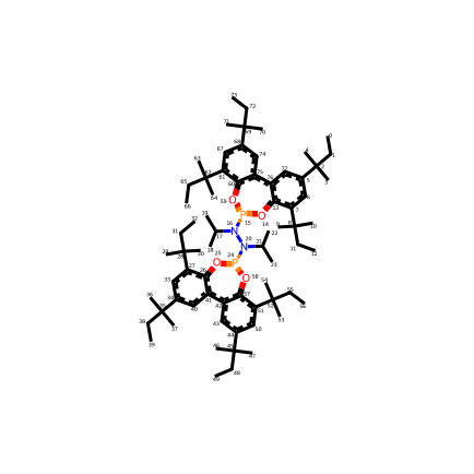 CCC(C)(C)c1cc(C(C)(C)CC)c2op(N(C(C)C)N(C(C)C)p3oc4c(C(C)(C)CC)cc(C(C)(C)CC)cc4c4cc(C(C)(C)CC)cc(C(C)(C)CC)c4o3)oc3c(C(C)(C)CC)cc(C(C)(C)CC)cc3c2c1